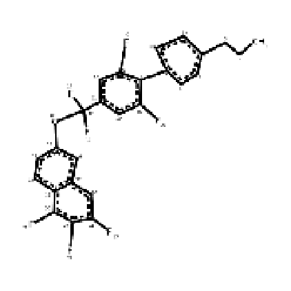 CCCc1ccc(-c2c(F)cc(C(F)(F)Oc3ccc4c(F)c(F)c(F)cc4c3)cc2F)cc1